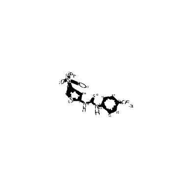 CC(C)S(=O)(=O)c1csc(NC(=S)Nc2ccc(C(F)(F)F)cc2)c1